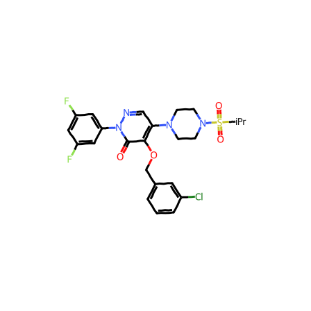 CC(C)S(=O)(=O)N1CCN(c2cnn(-c3cc(F)cc(F)c3)c(=O)c2OCc2cccc(Cl)c2)CC1